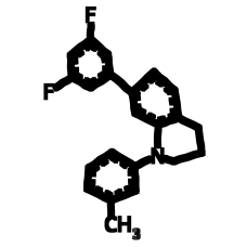 Cc1cccc(N2CCCc3ccc(-c4cc(F)cc(F)c4)cc32)c1